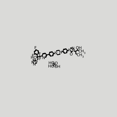 CCC(C(C)O)n1ncn(-c2ccc(N3CCN(c4ccc(-c5ccc(C(F)(F)C(O)(Cn6cnnn6)c6ccc(F)cc6F)nc5)cc4)CC3)cc2)c1=O.O=P(O)(O)O